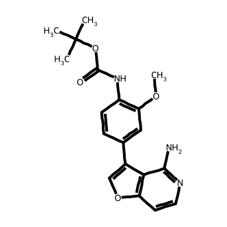 COc1cc(-c2coc3ccnc(N)c23)ccc1NC(=O)OC(C)(C)C